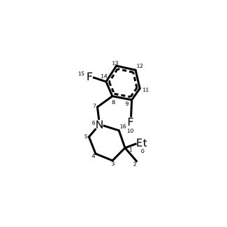 CCC1(C)CCCN(Cc2c(F)cccc2F)C1